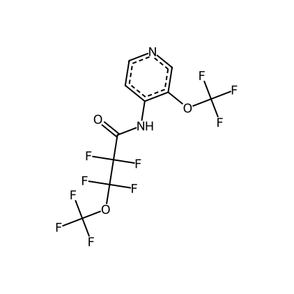 O=C(Nc1ccncc1OC(F)(F)F)C(F)(F)C(F)(F)OC(F)(F)F